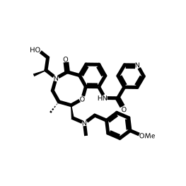 COc1ccc(CN(C)C[C@@H]2Oc3c(NC(=O)c4ccncc4)cccc3C(=O)N([C@@H](C)CO)C[C@H]2C)cc1